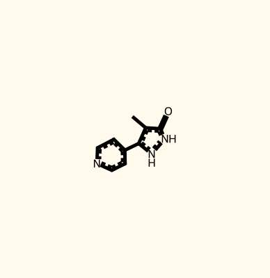 Cc1c(-c2ccncc2)[nH][nH]c1=O